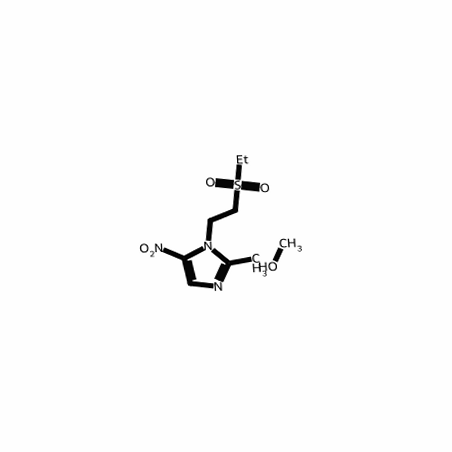 CCS(=O)(=O)CCn1c([N+](=O)[O-])cnc1C.CO